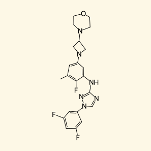 Cc1cc(N2CC(N3CCOCC3)C2)cc(Nc2ncn(-c3cc(F)cc(F)c3)n2)c1F